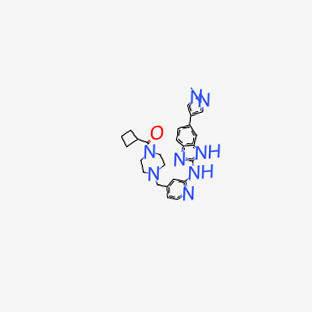 Cn1cc(-c2ccc3nc(Nc4cc(CN5CCN(C(=O)C6CCC6)CC5)ccn4)[nH]c3c2)cn1